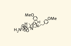 COc1ccc(CCCN(Cc2nc(C(=O)NS(=O)(=O)C(C)(C)N)c(C)s2)C(=O)C2(c3ccc(OC)cc3)CC2)cc1